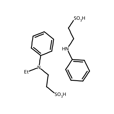 CCN(CCS(=O)(=O)O)c1ccccc1.O=S(=O)(O)CCNc1ccccc1